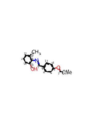 COCOc1ccc(/C=N/c2c(C)cccc2O)cc1